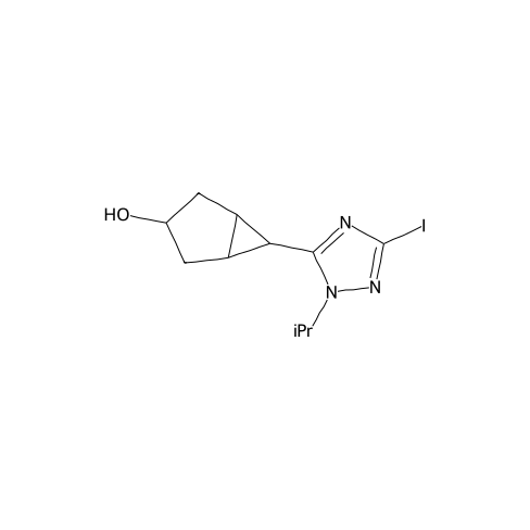 CC(C)n1nc(I)nc1C1C2CC(O)CC21